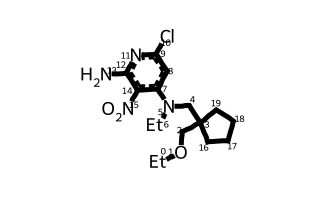 CCOCC1(CN(CC)c2cc(Cl)nc(N)c2[N+](=O)[O-])CCCC1